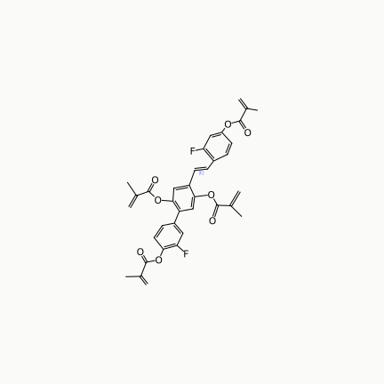 C=C(C)C(=O)Oc1ccc(/C=C/c2cc(OC(=O)C(=C)C)c(-c3ccc(OC(=O)C(=C)C)c(F)c3)cc2OC(=O)C(=C)C)c(F)c1